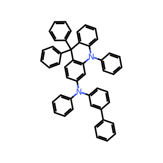 c1ccc(-c2cccc(N(c3ccccc3)c3ccc4c(c3)N(c3ccccc3)c3ccccc3C4(c3ccccc3)c3ccccc3)c2)cc1